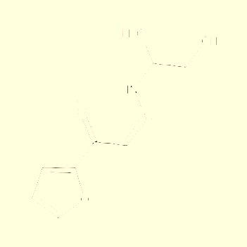 CCC(C)N/C=C\C(=O)c1ccco1